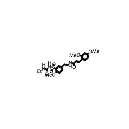 CCNC(=S)NS(=O)(=O)c1cc(CCNC(=O)/C=C/c2ccc(OC)cc2OC)ccc1OC